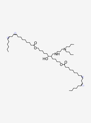 CCCCC/C=C\C/C=C\CCCCCCCC(=O)OCCCCCC(O)C(CCCCOC(=O)CCCCCCC/C=C\C/C=C\CCCCC)CNCCCN(CCCC)CCCC